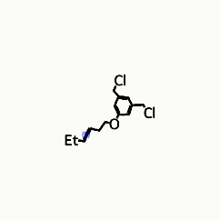 CC/C=C/CCOc1cc(CCl)cc(CCl)c1